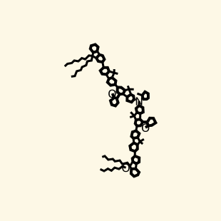 CCCCCCCCC1(CCCCCCCC)c2ccccc2-c2ccc(-c3ccc4c(c3)C(C)(C)c3cc(-c5cc6c(c7c5oc5ccccc57)-c5ccc(N(c7ccc8c(c7)C(C)(C)c7cc(-c9ccc%10c(c9)C(C)(C)c9cc(-c%11ccc%12c(c%11)C(CCCCCCCC)(OCCCCCCC)c%11ccccc%11-%12)ccc9-%10)c9oc%10ccccc%10c9c7-8)c7ccccc7C)cc5C6(C)C)ccc3-4)cc21